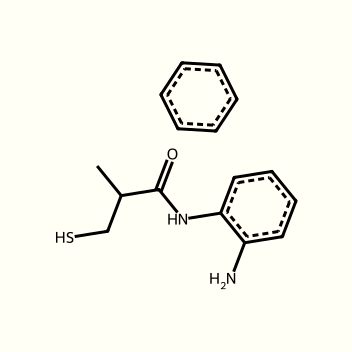 CC(CS)C(=O)Nc1ccccc1N.c1ccccc1